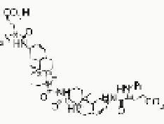 CC(C)N[C@@H](CCC(=O)O)C(=O)Nc1ccc2c(c1)[C@@]1(C)CCC[C@](C)(C(=O)NC(=O)[C@@]3(C)CCC[C@]4(C)c5cc(NC(=O)[C@@H](N)CCC(=O)O)ccc5CC[C@@H]34)[C@@H]1CC2